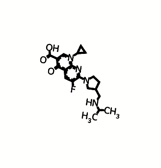 CC(C)NCC1CCN(c2nc3c(cc2F)c(=O)c(C(=O)O)cn3C2CC2)C1